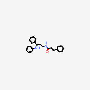 O=C(C=Cc1ccccc1)NCCC(Nc1ccccc1)c1ccccc1